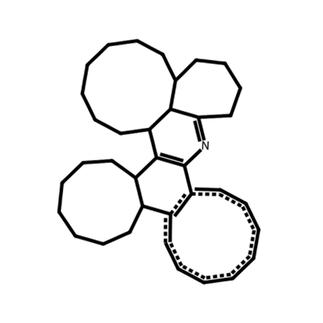 c1ccccc2c(ccc1)C1=C(C3CCCCCCCC23)C2CCCCCCCC3CCCCC(=N1)C32